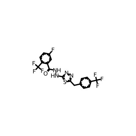 O=C(NNc1nnc(Cc2ccc(C(F)(F)F)cc2)s1)c1cc(F)ccc1C(F)(F)F